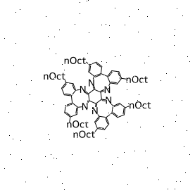 CCCCCCCCc1ccc2c(c1)nc1c3nc4cc(CCCCCCCC)ccc4c4ccc(CCCCCCCC)cc4nc3c3nc4cc(CCCCCCCC)ccc4c4ccc(CCCCCCCC)cc4nc3c1nc1cc(CCCCCCCC)ccc12